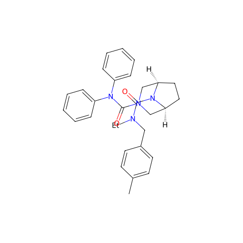 CCN(Cc1ccc(C)cc1)C(=O)N1[C@@H]2CC[C@H]1CN(C(=O)N(c1ccccc1)c1ccccc1)C2